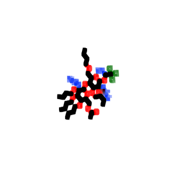 CCCCOCC1OC(OC(=N)C(Cl)(Cl)Cl)C(O)(N=[N+]=[N-])C(OCCCC)C1OC1OC(COC(C)=O)C(OCCCC)C(OCCCC)C1(N=[N+]=[N-])OCCCC